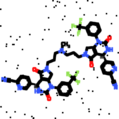 CN(CCCN1CC2=C(C1=O)[C@@H](c1ccc(C#N)nc1)NC(=O)N2c1cccc(C(F)(F)F)c1)CCCN1CC2=C(C1=O)[C@@H](c1ccc(C#N)nc1)NC(=O)N2c1cccc(C(F)(F)F)c1